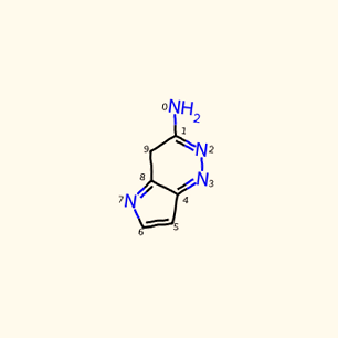 NC1=NN=C2C=CN=C2C1